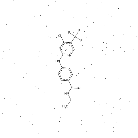 CCNC(=O)c1ccc(Nc2ncc(C(F)(F)F)c(Cl)n2)cc1